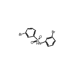 O=S(=O)(Nc1cccc(Br)c1)c1cccc(Br)c1